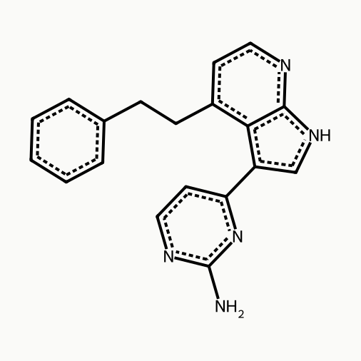 Nc1nccc(-c2c[nH]c3nccc(CCc4ccccc4)c23)n1